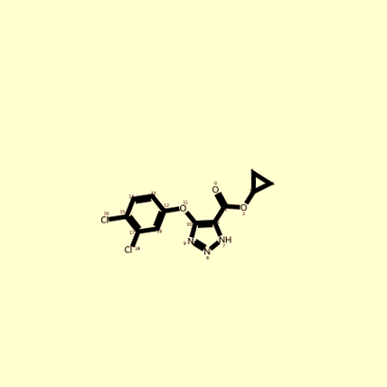 O=C(OC1CC1)c1[nH]nnc1Oc1ccc(Cl)c(Cl)c1